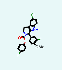 COc1ccc(C2c3[nH]c4ccc(Cl)cc4c3CCN2C(=O)Oc2ccc(F)cc2)cc1F